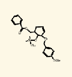 COc1ccc(COC2C=CCC(COC(=O)c3ccccc3)C2O[Si](C)(C)C(C)(C)C)cc1